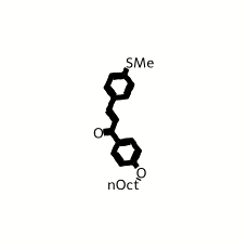 CCCCCCCCOc1ccc(C(=O)C=Cc2ccc(SC)cc2)cc1